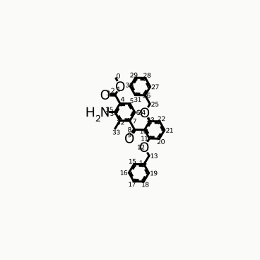 COC(=O)c1ccc(C(=O)c2c(OCc3ccccc3)cccc2OCc2ccccc2)c(C)c1N